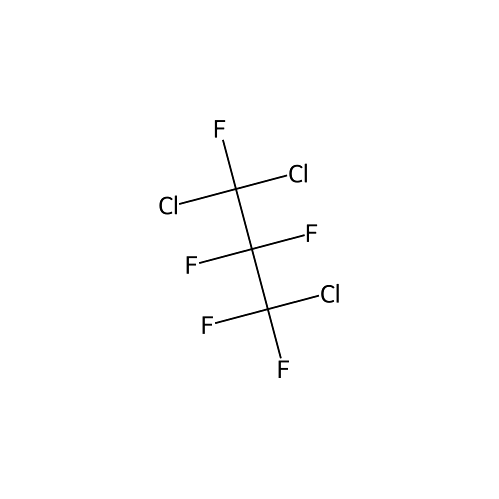 FC(F)(Cl)C(F)(F)C(F)(Cl)Cl